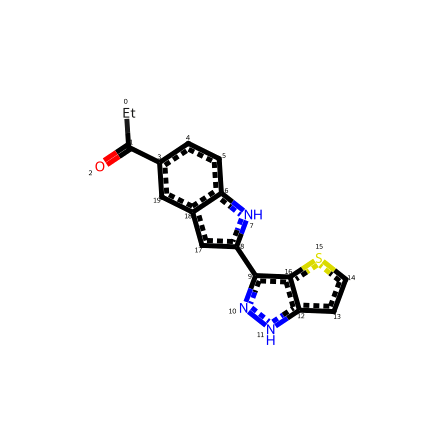 CCC(=O)c1ccc2[nH]c(-c3n[nH]c4ccsc34)cc2c1